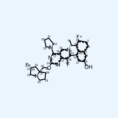 CCc1c(F)ccc2cc(O)cc(-c3ncc4c(N5CCCC5)nc(OC[C@@]56CCCN5C[C@H](F)C6)nc4c3F)c12